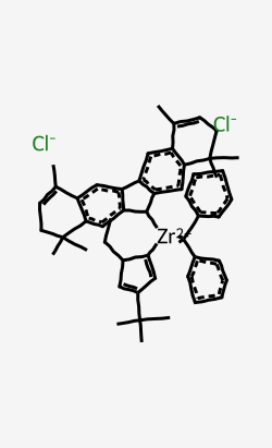 CCC1C=C(C(C)(C)C)C=[C]1[Zr+2](=[C](c1ccccc1)c1ccccc1)[CH]1c2cc3c(cc2-c2cc4c(cc21)C(C)(C)CC=C4C)C(C)=CCC3(C)C.[Cl-].[Cl-]